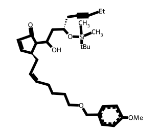 CCC#CC[C@@H](CC(O)C1C(=O)C=C[C@@H]1C/C=C\CCCCOCc1ccc(OC)cc1)O[Si](C)(C)C(C)(C)C